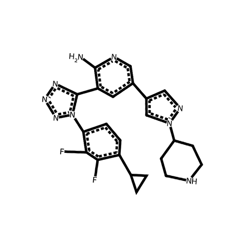 Nc1ncc(-c2cnn(C3CCNCC3)c2)cc1-c1nnnn1-c1ccc(C2CC2)c(F)c1F